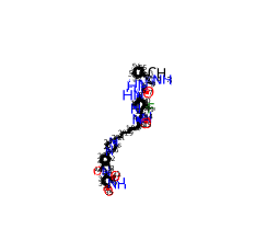 C/C(=C(\C=N)NC(=O)Nc1cnc(-c2noc(CCCCCCN3CCN(c4ccc5c(c4)CN(C4CCC(=O)NC4=O)C5=O)CC3)n2)c(F)c1)C1CCCC1